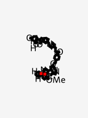 COc1ccc(CN2[C@@H]3C[C@H]2CN(c2ccc(-c4cc(OCC5CCN(C(=O)CCN6CCN(c7ccc8c(c7)C(=O)N(C7CCC(=O)NC7=O)C8)CC6)CC5)cn5ncc(C#N)c45)cn2)C3)cn1